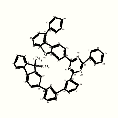 CC1(C)c2ccccc2-c2ccc(-c3cccc(-c4cccc(-c5nc(-c6ccccc6)nc(-c6ccc7c(c6)oc6cccc(-c8ccccc8)c67)n5)c4)c3)cc21